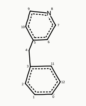 [c]1ccc(Cc2ccncc2)cc1